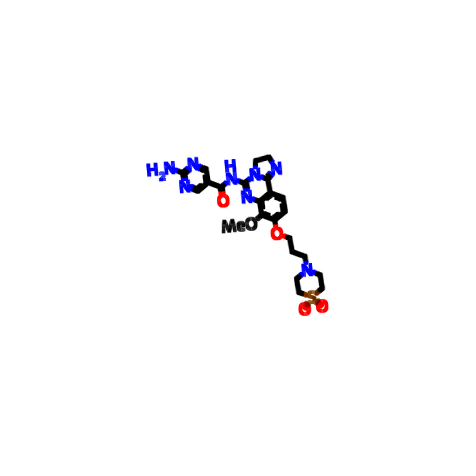 COc1c(OCCCN2CCS(=O)(=O)CC2)ccc2c1N=C(NC(=O)c1cnc(N)nc1)N1CCN=C21